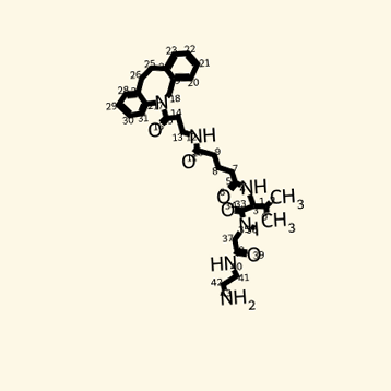 CC(C)C(NC(=O)CCCC(=O)NCCC(=O)N1Cc2ccccc2CCc2ccccc21)C(=O)N(I)CC(=O)NCCN